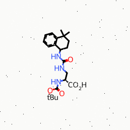 CC(C)(C)OC(=O)N[C@@H](CNC(=O)NC1CCC(C)(C)c2ccccc21)C(=O)O